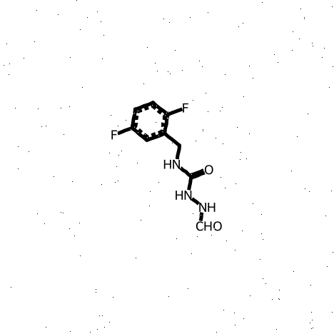 O=CNNC(=O)NCc1cc(F)ccc1F